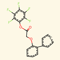 O=C(COc1ccccc1-c1ccccc1)Oc1c(F)c(F)c(F)c(F)c1F